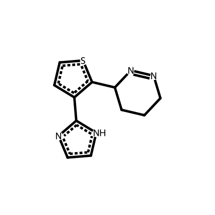 c1c[nH]c(-c2ccsc2C2CCCN=N2)n1